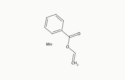 C=COC(=O)c1ccccc1.[Mn]